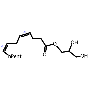 CCCCC/C=C\C/C=C\CCC(=O)OCC(O)CO